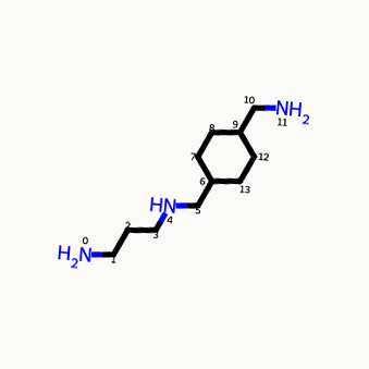 NCCCNCC1CCC(CN)CC1